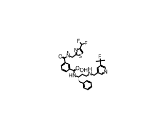 CN(Cc1nc(C(F)F)cs1)C(=O)c1cccc(C(=O)N[C@@H](Cc2ccccc2)[C@H](O)CNCc2cncc(C(C)(C)F)c2)c1